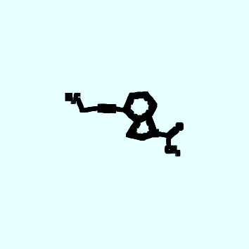 CCC#Cc1cccc2c1ccn2C(C)=O